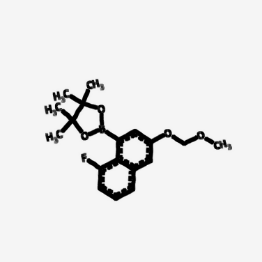 COCOc1cc(B2OC(C)(C)C(C)(C)O2)c2c(F)cccc2c1